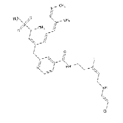 C\N=C/C(C)=C\C=C\C(=C/C(C)S(N)(=O)=O)Cc1cc(C(=O)NCC/C(F)=C\CN/C=C/Cl)ccn1